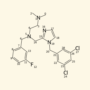 CN(C)CCN(Cc1cccc(F)c1)Cc1nccn1Cc1cc(Cl)cc(Cl)c1